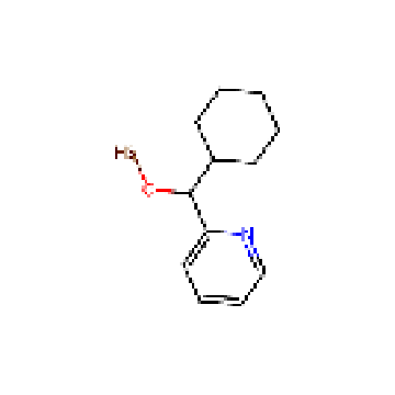 SOC(c1ccccn1)C1CCCCC1